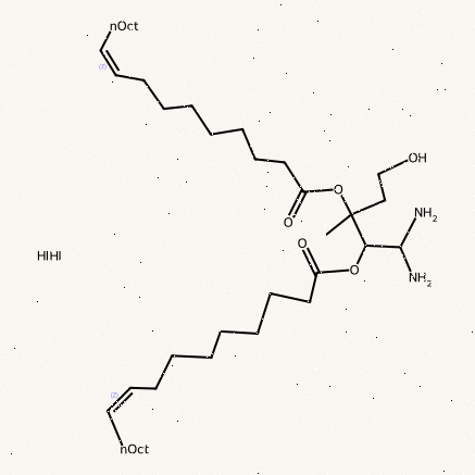 CCCCCCCC/C=C\CCCCCCCC(=O)OC(C(N)N)C(C)(CCO)OC(=O)CCCCCCC/C=C\CCCCCCCC.I.I